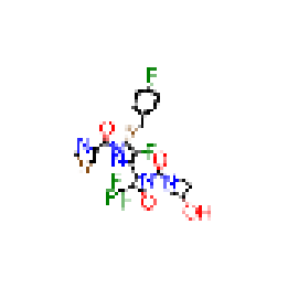 O=C1C(C(F)(F)F)C(c2nn(C(=O)c3cscn3)c(SCc3ccc(F)cc3)c2F)N1C(=O)N1CCC(O)C1